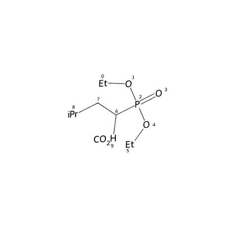 CCOP(=O)(OCC)C(CC(C)C)C(=O)O